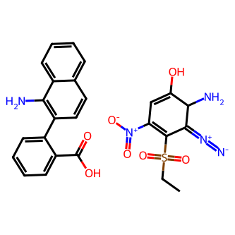 CCS(=O)(=O)C1=C([N+](=O)[O-])C=C(O)C(N)C1=[N+]=[N-].Nc1c(-c2ccccc2C(=O)O)ccc2ccccc12